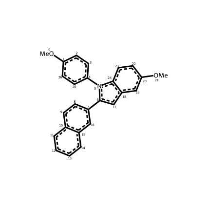 COc1ccc(-n2c(-c3ccc4ccccc4c3)cc3cc(OC)ccc32)cc1